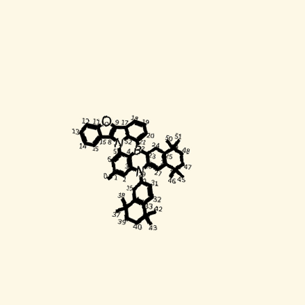 Cc1cc2c3c(c1)N1c4c(oc5ccccc45)C4C=CC=C(B3C3CC5=C(C=C3N2C2C=CC3=C(C2)C(C)(C)CCC3(C)C)C(C)(C)CCC5(C)C)C41